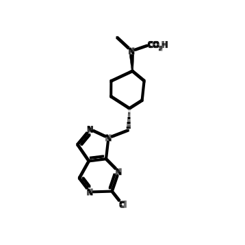 CN(C(=O)O)[C@H]1CC[C@H](Cn2ncc3cnc(Cl)nc32)CC1